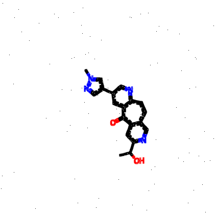 CC(O)c1cc2c(=O)c3cc(-c4cnn(C)c4)cnc3ccc2cn1